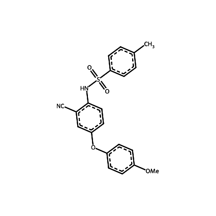 COc1ccc(Oc2ccc(NS(=O)(=O)c3ccc(C)cc3)c(C#N)c2)cc1